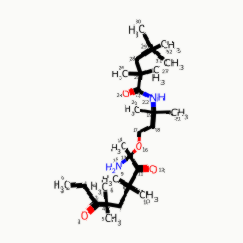 CCC(=O)C(C)(C)CC(C)(C)C(=O)C(C)(N)OCCC(C)(C)NC(=O)C(C)(C)CC(C)(C)C